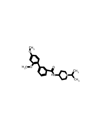 COc1ccc(-c2cccc(C(=O)NC3CCN(C(C)C)CC3)c2)c(OC)c1